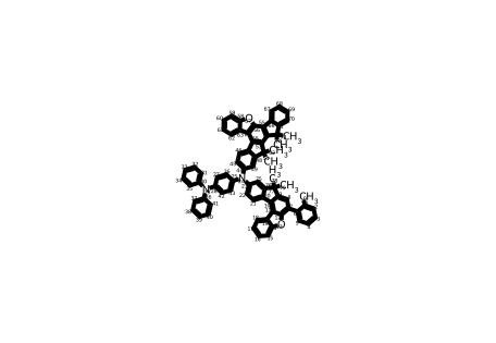 Cc1ccccc1-c1cc2c(c3c1oc1ccccc13)-c1ccc(N(c3ccc(N(c4ccccc4)c4ccccc4)cc3)c3ccc4c(c3)C(C)(C)c3c5c(c6oc7ccccc7c6c3-4)-c3ccccc3C5(C)C)cc1C2(C)C